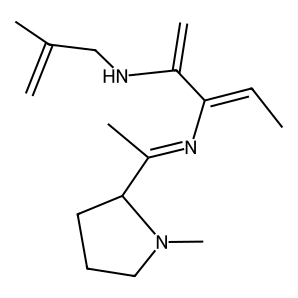 C=C(C)CNC(=C)C(=C/C)/N=C(\C)C1CCCN1C